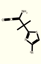 [2H]c1csc(C(C)(C)C(N)=C=O)n1